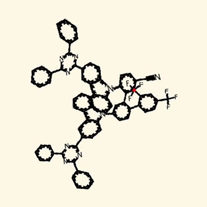 N#Cc1ccc(-n2c3ccccc3c3cc(-c4nc(-c5ccccc5)nc(-c5ccccc5)n4)ccc32)c(-c2cc(-n3c4ccccc4c4cc(-c5nc(-c6ccccc6)nc(-c6ccccc6)n5)ccc43)ccc2-c2ccc(C(F)(F)F)cc2C(F)(F)F)c1